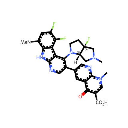 CNc1cc(F)c(F)c2c1[nH]c1ncc(-c3cnc4c(c3)c(=O)c(C(=O)O)cn4C)c(N3CC[C@]4(F)CN(C)C[C@H]34)c12